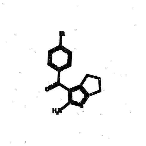 CCc1ccc(C(=O)c2c(N)sc3c2CCC3)cc1